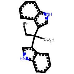 CC(C)CC(C(=O)O)(c1c[nH]c2ccccc12)c1c[nH]c2ccccc12